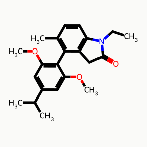 CCN1C(=O)Cc2c1ccc(C)c2-c1c(OC)cc(C(C)C)cc1OC